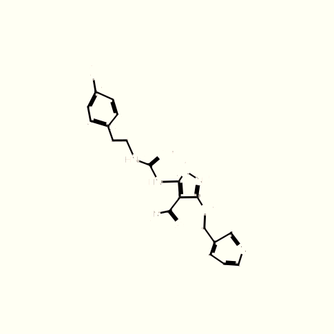 NC(=O)c1c(OCc2cccnc2)nsc1NC(=O)NCCc1ccc(Cl)cc1